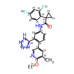 CCOc1ncc(-c2ccc(NC(=O)C3(c4ccc(F)cc4F)CC3)cc2-c2nnn[nH]2)cc1C